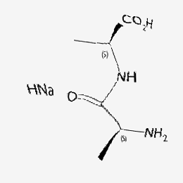 C[C@H](N)C(=O)N[C@@H](C)C(=O)O.[NaH]